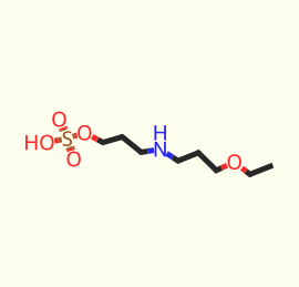 CCOCCCNCCCOS(=O)(=O)O